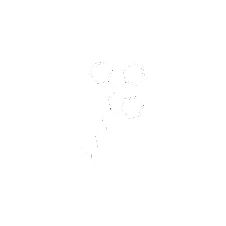 C[Si](C)(C)CCOCC(=O)C=P(c1ccccc1)(c1ccccc1)c1ccccc1